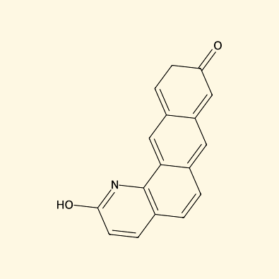 O=C1C=c2cc3ccc4ccc(O)nc4c3cc2=CC1